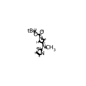 CN(c1nccs1)C1CN(C(=O)OC(C)(C)C)C1